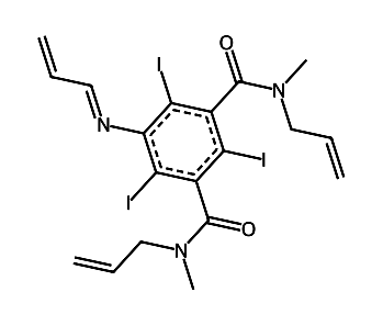 C=CC=Nc1c(I)c(C(=O)N(C)CC=C)c(I)c(C(=O)N(C)CC=C)c1I